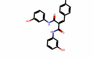 CC(C)c1ccc(C=C(C(=O)Nc2cccc(O)c2)C(=O)Nc2cccc(O)c2)cc1